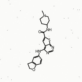 CN1CCC(NC(=O)c2cc3c(Nc4ccc5c(c4)CCO5)ncnc3s2)CC1